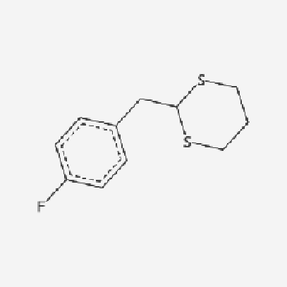 Fc1ccc(CC2SCCCS2)cc1